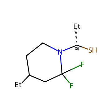 CCC1CCN([C@@H](S)CC)C(F)(F)C1